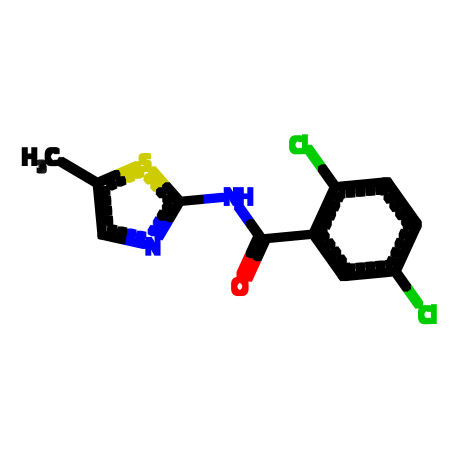 Cc1cnc(NC(=O)c2cc(Cl)ccc2Cl)s1